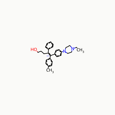 CCN1CCN(c2ccc(/C(=C(/CCCO)c3ccccc3)c3ccc(C)cc3)cc2)CC1